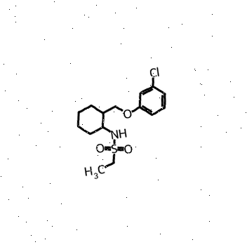 CCS(=O)(=O)NC1CCCCC1COc1cccc(Cl)c1